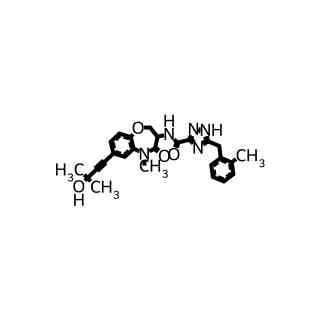 Cc1ccccc1Cc1nc(C(=O)NC2COc3ccc(C#CC(C)(C)O)cc3N(C)C2=O)n[nH]1